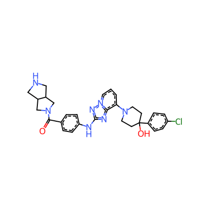 O=C(c1ccc(Nc2nc3c(N4CCC(O)(c5ccc(Cl)cc5)CC4)cccn3n2)cc1)N1CC2CNCC2C1